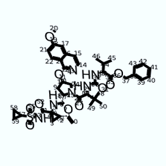 C=C[C@@H]1C[C@]1(NC(=O)[C@@H]1C[C@@H](Oc2nccc3cc(OC)ccc23)CN1C(=O)[C@@H](NC(=O)N[C@H](C(=O)OCc1ccccc1)C(C)C)C(C)(C)C)C(=O)NS(=O)(=O)C1CC1